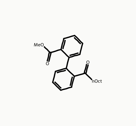 CCCCCCCCC(=O)c1ccccc1-c1ccccc1C(=O)OC